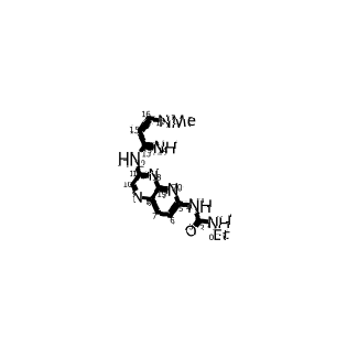 CCNC(=O)Nc1ccc2ncc(NC(=N)/C=C\NC)nc2n1